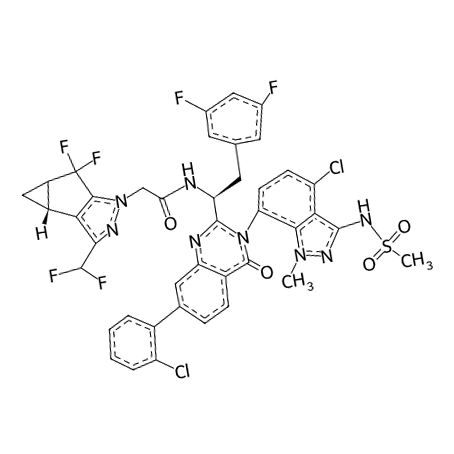 Cn1nc(NS(C)(=O)=O)c2c(Cl)ccc(-n3c([C@H](Cc4cc(F)cc(F)c4)NC(=O)Cn4nc(C(F)F)c5c4C(F)(F)C4C[C@@H]54)nc4cc(-c5ccccc5Cl)ccc4c3=O)c21